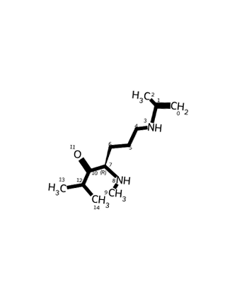 C=C(C)NCCC[C@@H](NC)C(=O)C(C)C